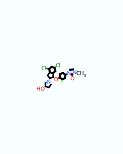 Cn1ccn(-c2ccc(O[C@@H]3c4cc(Cl)cc(Cl)c4C[C@H]3N3CC[C@@H](O)C3)c(F)c2)c1=O